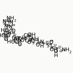 CC(C)(COP(=O)(O)OP(=O)(O)OC[C@H]1O[C@@H](n2cnc3c(N)ncnc32)[C@H](O)[C@@H]1OP(=O)(O)O)C(O)C(=O)NCCC(=O)NCCSC(=O)C(O)CC(O)CCN